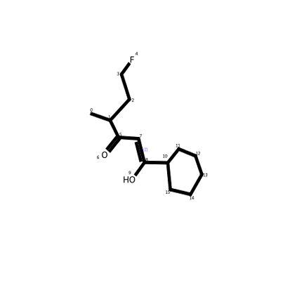 CC(CCF)C(=O)/C=C(\O)C1CCCCC1